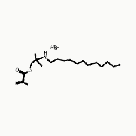 Br.C=C(C)C(=O)OCC(C)(C)NCCCCCCCCCCCC